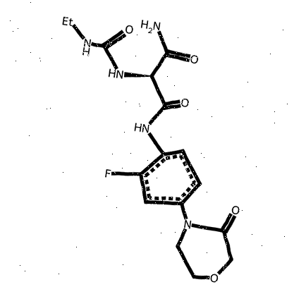 CCNC(=O)N[C@@H](C(N)=O)C(=O)Nc1ccc(N2CCOCC2=O)cc1F